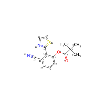 CC(C)(C)C(=O)Oc1cccc(C#N)c1-c1nccs1